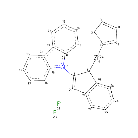 C1=CC[C]([Zr+2][CH]2C(n3c4ccccc4c4ccccc43)=Cc3ccccc32)=C1.[F-].[F-]